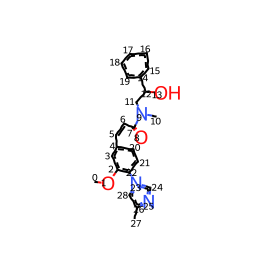 COc1cc(/C=C\C(=O)N(C)CC(O)c2ccccc2)ccc1-n1cnc(C)c1